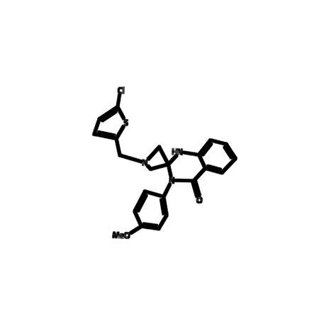 COc1ccc(N2C(=O)c3ccccc3NC23CN(Cc2ccc(Cl)s2)C3)cc1